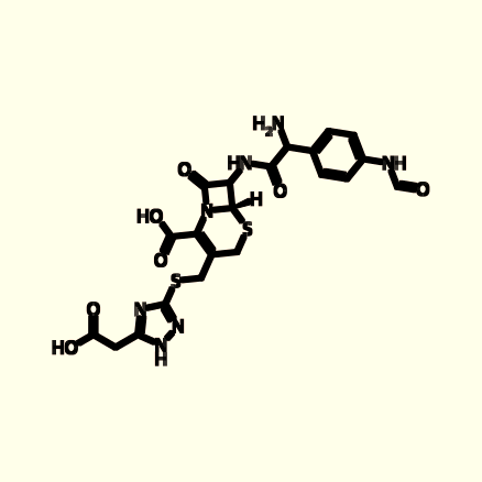 NC(C(=O)NC1C(=O)N2C(C(=O)O)=C(CSc3n[nH]c(CC(=O)O)n3)CS[C@@H]12)c1ccc(NC=O)cc1